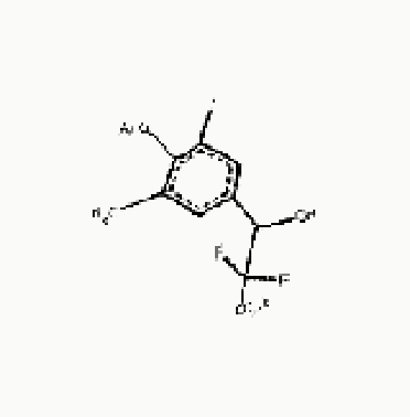 CCOC(=O)C(F)(F)C(O)c1cc(C)c(OC(C)=O)c(I)c1